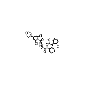 C[C@@H](CNC(=O)c1c(Cl)cc(N2CCOCC2)cc1Cl)C(=O)Oc1ccccc1N1C(=O)C2(CC2)c2cccc(Cl)c21